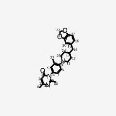 Cc1cc(=O)n(-c2ccc(N3CCC(Cc4ccc5c(c4)OCO5)CC3)c(C)c2)c(C)n1